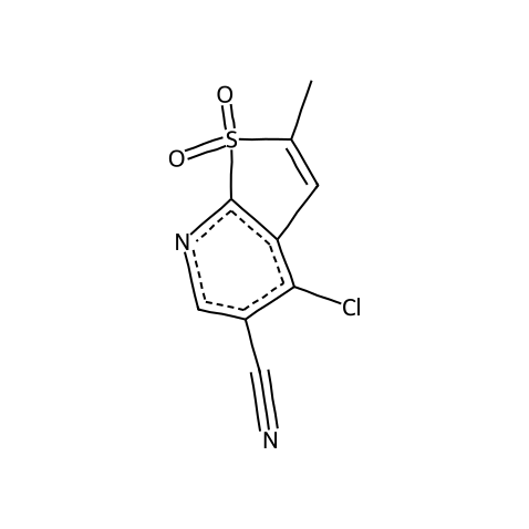 CC1=Cc2c(ncc(C#N)c2Cl)S1(=O)=O